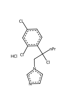 CCCC(Cl)(Cn1ccnc1)c1ccc(Cl)cc1Cl.Cl